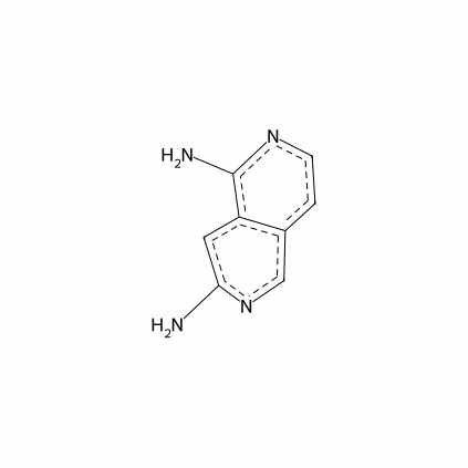 Nc1cc2c(N)nccc2cn1